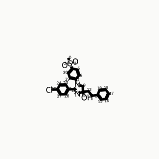 CS(=O)(=O)c1ccc(N2CC(O)(CCc3ccccc3)N=C2c2ccc(Cl)cc2)cc1